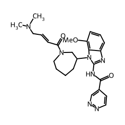 COc1cccc2nc(NC(=O)c3ccnnc3)n(C3CCCCN(C(=O)C=CCN(C)C)C3)c12